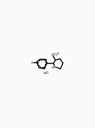 Cl.O=C(O)C1CCCNC1c1ccc(F)cc1